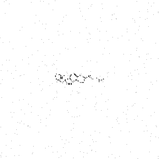 COCCOc1ccc2cc(C3(O)CC4CCC(C3)N4C)ccc2c1